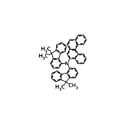 CC1(C)c2ccccc2-c2c(N(c3cccc4c3-c3ccccc3C4(C)C)c3cc4ccc5ccccc5c4c4ccccc34)cccc21